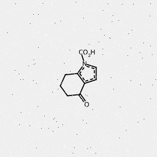 O=C1CCCc2c1ccn2C(=O)O